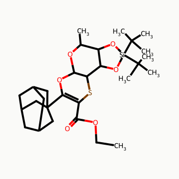 CCOC(=O)C1=C(C23CC4CC(CC(C4)C2)C3)OC2OC(C)C3O[Si](C(C)(C)C)(C(C)(C)C)OC3C2S1